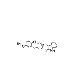 CC(C)Oc1ccc(Cl)c(CC2CCN(CC3C(=O)Nc4ccccc43)CC2)c1